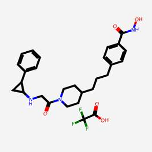 O=C(NO)c1ccc(CCCC2CCN(C(=O)CNC3CC3c3ccccc3)CC2)cc1.O=C(O)C(F)(F)F